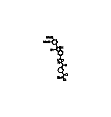 CCN(CC)C(=O)C1CCCN(C(=O)c2nnc(-c3ccc4[nH]c(-c5ccc(OC)c(OC)c5)c(C(C)C)c4c3)o2)C1